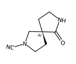 N#CN1CC[C@]2(CCNC2=O)C1